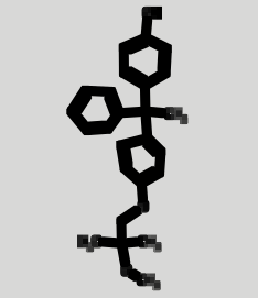 COC(C)(C)COc1ccc(C(C)(c2ccccc2)c2ccc(O)cc2)cc1